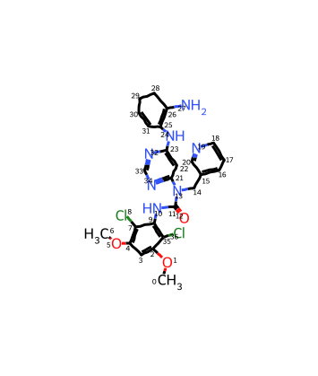 COc1cc(OC)c(Cl)c(NC(=O)N(Cc2cccnc2)c2cc(NC3=C(N)CCC=C3)ncn2)c1Cl